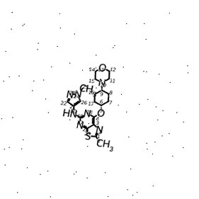 Cc1nc2c(O[C@H]3CC[C@H](N4CCOCC4)CC3)nc(Nc3cnn(C)c3)nc2s1